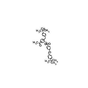 CC(=O)N1CCN(Cc2ccc(C(C)(C)C)cc2)C(CS(=O)(=O)c2ccc(OCc3ccc(C(C)(C)C)cc3)cc2)C1